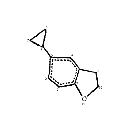 c1cc2c(cc1C1CC1)CCO2